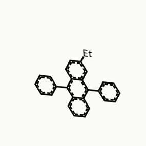 CCc1ccc2c(-c3ccccc3)c3ccccc3c(-c3ccccc3)c2c1